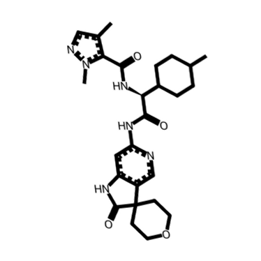 Cc1cnn(C)c1C(=O)N[C@H](C(=O)Nc1cc2c(cn1)C1(CCOCC1)C(=O)N2)C1CCC(C)CC1